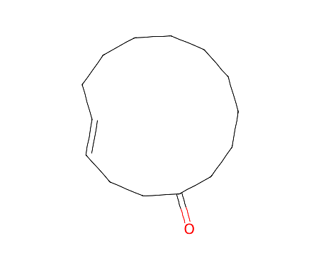 O=C1CC/C=C/CCCCCCCCC1